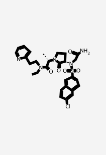 CCN(CCc1ccccn1)C(=O)[C@H](C)N1CC[C@H](N(CC(N)=O)S(=O)(=O)c2ccc3cc(Cl)ccc3c2)C1=O